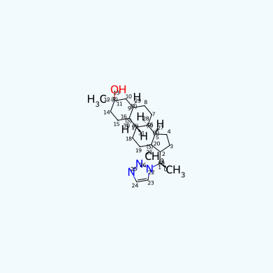 C[C@H](C1CC[C@H]2[C@@H]3CC[C@@H]4C[C@](C)(O)CC[C@@H]4[C@H]3CC[C@]12C)n1ccnn1